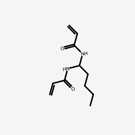 C=CC(=O)NC(CCCC)NC(=O)C=C